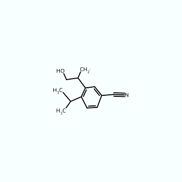 [CH2]C(CO)c1cc(C#N)ccc1C(C)C